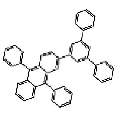 c1ccc(-c2cc(-c3ccc4c(-c5ccccc5)c5ccccc5c(-c5ccccc5)c4c3)cc(-c3ccccc3)n2)cc1